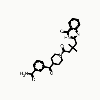 CC(C)(CC(=O)N1CCC(C(=O)c2cccc(C(N)=O)c2)CC1)Cc1nc2ccccc2c(=O)[nH]1